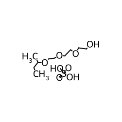 CCC(C)OCCOCCOCCO.O=S(=O)(O)O